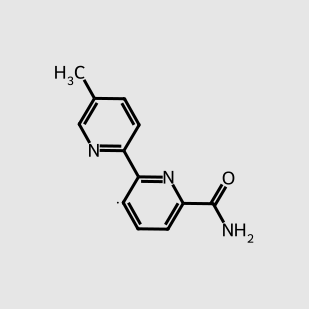 Cc1ccc(-c2[c]ccc(C(N)=O)n2)nc1